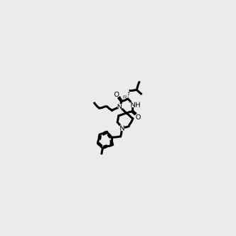 CCCCN1C(=O)[C@H](CC(C)C)NC(=O)C12CCN(Cc1cccc(C)c1)CC2